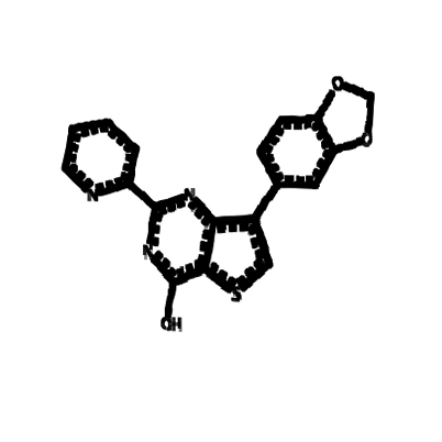 Oc1nc(-c2ccccn2)nc2c(-c3ccc4c(c3)OCO4)csc12